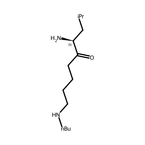 CCCCNCCCCC(=O)[C@@H](N)CC(C)C